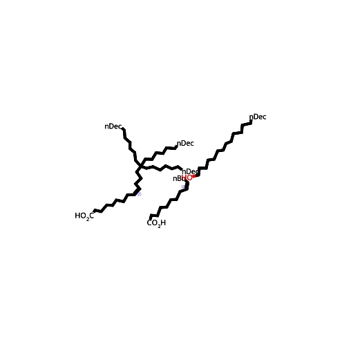 CCCC/C=C\CCCCCCCC(=O)O.CCCCCCCCCCCCCCCCC(CCC/C=C\CCCCCCCC(=O)O)(CCCCCCCCCCCCCCCC)CCCCCCCCCCCCCCCC.CCCCCCCCCCCCCCCCCCCCCCCO